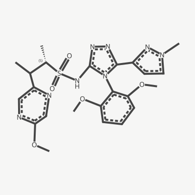 COc1cnc(C(C)[C@H](C)S(=O)(=O)Nc2nnc(-c3ccn(C)n3)n2-c2c(OC)cccc2OC)cn1